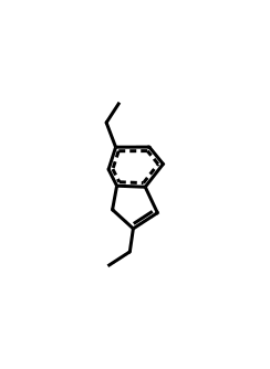 CCC1=Cc2ccc(CC)cc2C1